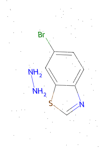 Brc1ccc2ncsc2c1.NN